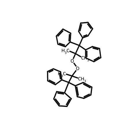 CC(C)(OOC(C)(C)C(c1ccccc1)(c1ccccc1)c1ccccc1)C(c1ccccc1)(c1ccccc1)c1ccccc1